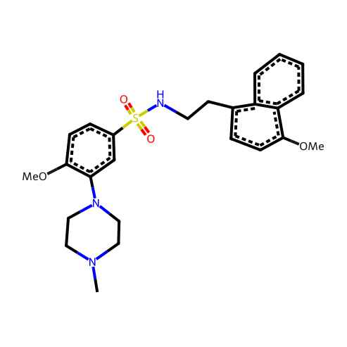 COc1ccc(S(=O)(=O)NCCc2ccc(OC)c3ccccc23)cc1N1CCN(C)CC1